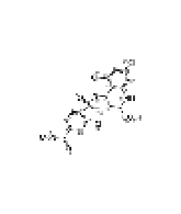 CNC(=O)c1ccc(S(=O)(=O)NC2C=C(C(=O)O)Nc3cc(Cl)cc(Cl)c32)c(Cl)c1